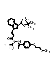 COCCOc1ccc(C(=O)NN(C(=O)C=Cc2cn(C(=O)OC(C)(C)C)c3ccccc23)C(C)C)cc1